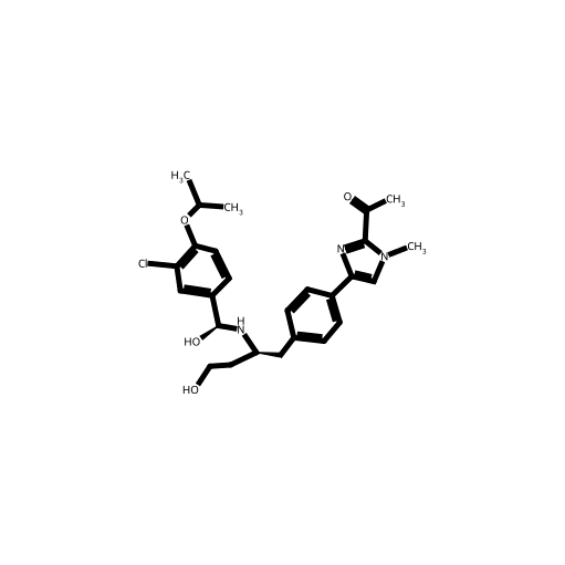 CC(=O)c1nc(-c2ccc(C[C@@H](CCO)N[C@@H](O)c3ccc(OC(C)C)c(Cl)c3)cc2)cn1C